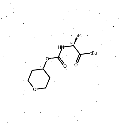 CC(C)[C@H](NC(=O)OC1CCOCC1)C(=O)C(C)(C)C